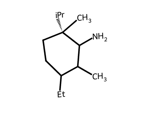 CCC1CC[C@](C)(C(C)C)C(N)C1C